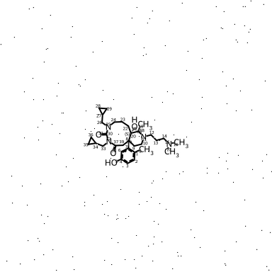 Cc1ccc(O)cc1[C@]12CCN(CCCN(C)C)[C@H](C)[C@]1(O)CCCN(CC1CC1)C(=O)N(CC1CC1)C(=O)C2